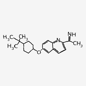 CC(=N)c1ccc2cc(OC3CCC(C(C)(C)C)CC3)ccc2n1